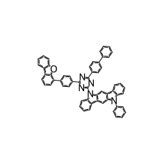 c1ccc(-c2ccc(-c3nc(-c4ccc(-c5cccc6c5oc5ccccc56)cc4)nc(-n4c5ccccc5c5cc6c(cc54)c4ccccc4n6-c4ccccc4)n3)cc2)cc1